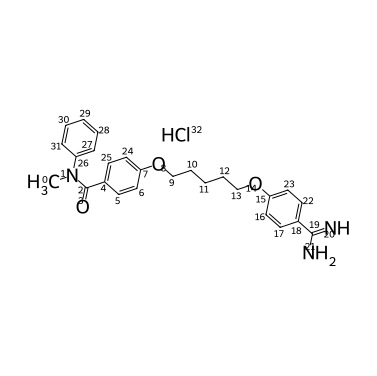 CN(C(=O)c1ccc(OCCCCCOc2ccc(C(=N)N)cc2)cc1)c1ccccc1.Cl